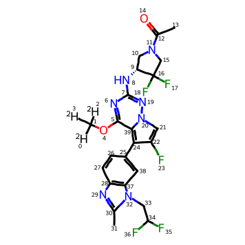 [2H]C([2H])([2H])Oc1nc(N[C@@H]2CN(C(C)=O)CC2(F)F)nn2cc(F)c(-c3ccc4nc(C)n(CC(F)F)c4c3)c12